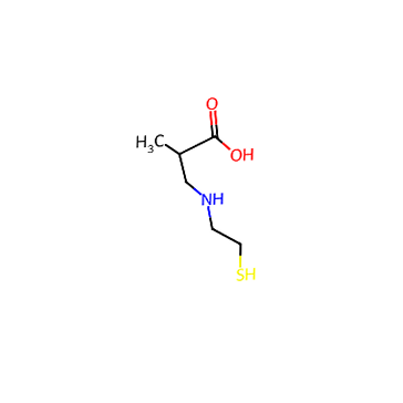 CC(CNCCS)C(=O)O